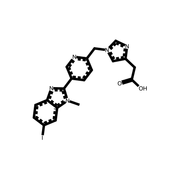 Cn1c(-c2ccc(Cn3cnc(CC(=O)O)c3)nc2)nc2ccc(I)cc21